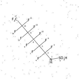 O=S(=O)(O)NC(F)(F)C(F)(F)C(F)(F)C(F)(F)C(F)(F)C(F)(F)F